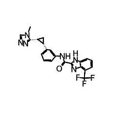 Cn1cnnc1[C@@H]1C[C@@H]1c1cccc(NC(=O)c2nc3c(C(F)(F)F)cccc3[nH]2)c1